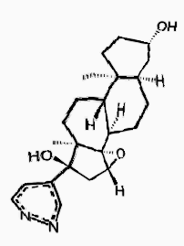 C[C@]12CC[C@H](O)C[C@H]1CC[C@@H]1[C@@H]2CC[C@@]2(C)[C@@]13O[C@@H]3C[C@]2(O)c1ccnnc1